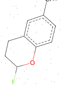 O=Cc1ccc2c(c1)CCC(F)O2